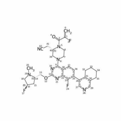 C=C(F)C(=O)N1CCN(c2nc(OC[C@@H]3C[C@@H](F)CN3C)nc3c(F)c(-c4cncc5c4CCCC5)ccc23)C[C@@H]1CC#N